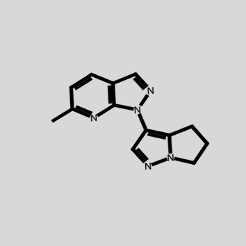 Cc1ccc2cnn(-c3cnn4c3CCC4)c2n1